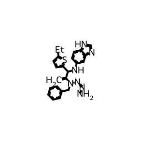 C=C(C(Nc1ccc2[nH]cnc2c1)c1ccc(CC)s1)N(Cc1ccccc1)/N=N\N